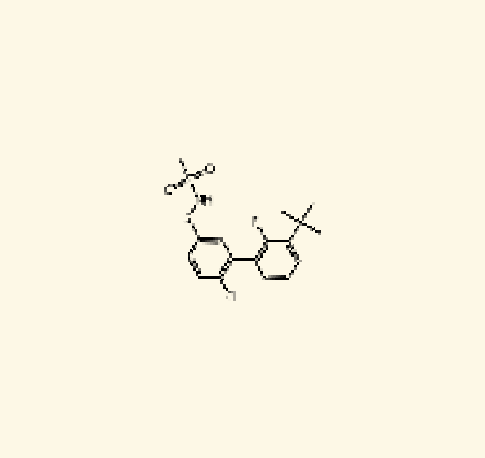 CC(C)(C)c1cccc(-c2cc(SNS(C)(=O)=O)ccc2Cl)c1F